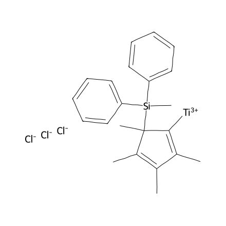 CC1=C(C)C(C)([Si](C)(c2ccccc2)c2ccccc2)[C]([Ti+3])=C1C.[Cl-].[Cl-].[Cl-]